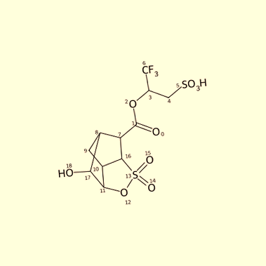 O=C(OC(CS(=O)(=O)O)C(F)(F)F)C1C2CC3C(OS(=O)(=O)C31)C2O